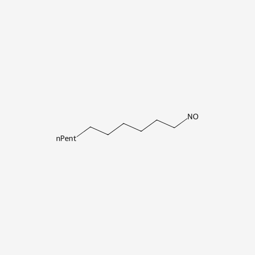 CCCCCCCCCCCN=O